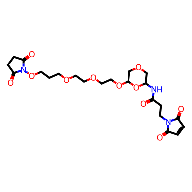 O=C(CCN1C(=O)C=CC1=O)NC1COCC(OCCOCCOCCCON2C(=O)CCC2=O)O1